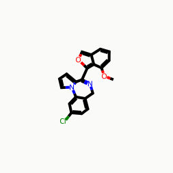 COc1cccc2coc(C3=NCc4ccc(Cl)cc4-n4cccc43)c12